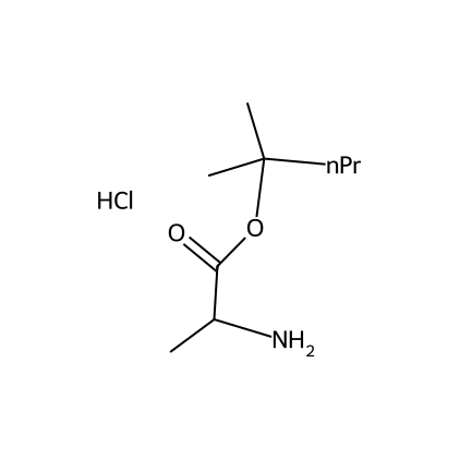 CCCC(C)(C)OC(=O)C(C)N.Cl